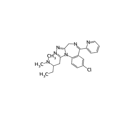 CCC(Cc1nnc2n1-c1ccc(Cl)cc1C(c1ccccn1)=NC2)N(C)C